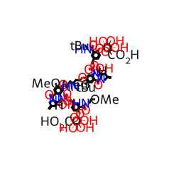 C=C1C[C@H]2C(O)N(C(=O)OCc3ccc(O[C@@H]4O[C@H](C(=O)O)[C@@H](O)[C@H](O)[C@H]4O)c(C(=O)NCCOC)c3)c3cc(OCCC(CCOc4cc5c(cc4OC)C(=O)N4CC(=C)C[C@H]4C(O)N5C(=O)OCc4ccc(O[C@@H]5O[C@H](C(=O)O)[C@@H](O)[C@H](O)[C@H]5O)c(C(=O)NC(C)(C)C)c4)NC(C)(C)C)c(OC)cc3C(=O)N2C1